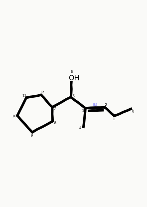 CC/C=C(\C)C(O)C1CCCCC1